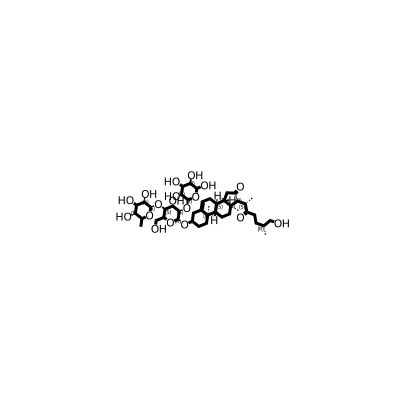 CC1O[C@@H](O[C@@H]2C(CO)O[C@@H](OC3CC[C@@]4(C)C(=CC[C@H]5[C@@H]6CC(=O)[C@H]([C@H](C)C(=O)CC[C@@H](C)CO)[C@@]6(C)CC[C@@H]54)C3)[C@@H](O[C@@H]3OC(O)[C@H](O)C(O)[C@@H]3O)C2O)[C@@H](O)C(O)[C@H]1O